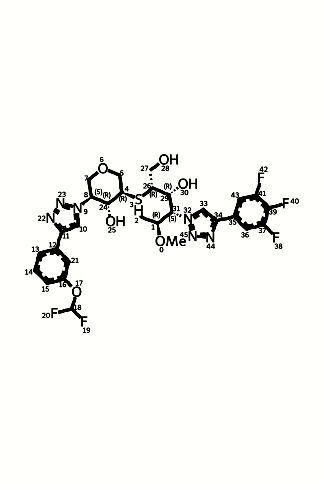 CO[C@H]1C[SH]([C@@H]2COC[C@H](n3cc(-c4cccc(OC(F)F)c4)nn3)[C@H]2O)[C@H](CO)[C@H](O)[C@@H]1n1cc(-c2cc(F)c(F)c(F)c2)nn1